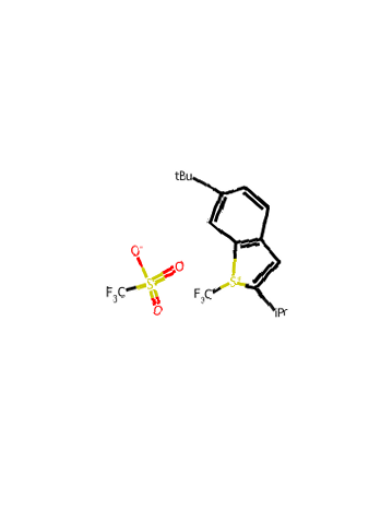 CC(C)c1cc2ccc(C(C)(C)C)cc2[s+]1C(F)(F)F.O=S(=O)([O-])C(F)(F)F